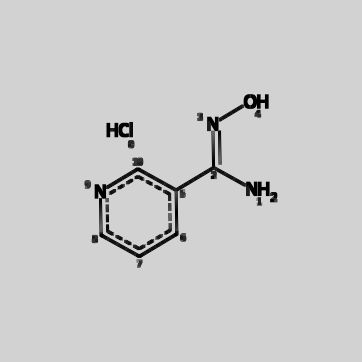 Cl.NC(=NO)c1cccnc1